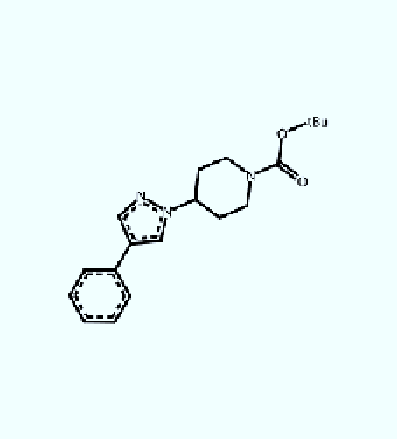 CC(C)(C)OC(=O)N1CCC(n2cc(-c3ccccc3)cn2)CC1